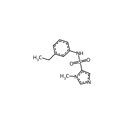 CCc1cccc(NS(=O)(=O)c2cncn2C)c1